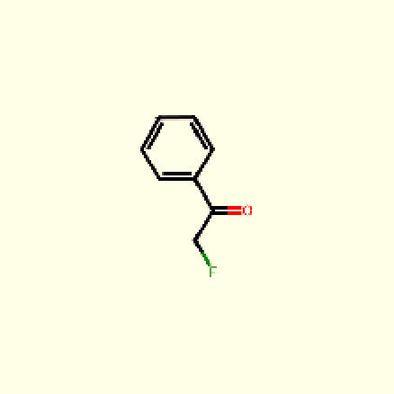 O=C(CF)c1cc[c]cc1